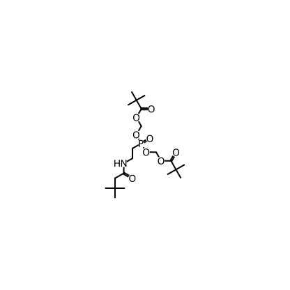 CC(C)(C)CC(=O)NCCP(=O)(OCOC(=O)C(C)(C)C)OCOC(=O)C(C)(C)C